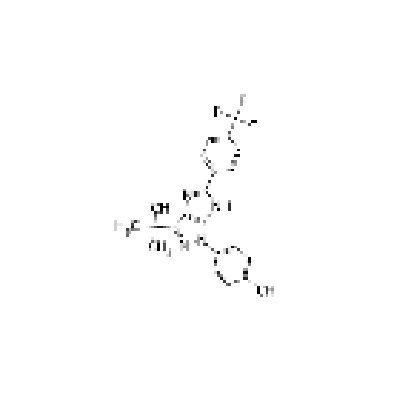 Cc1ccc(-n2nc(C(C)(C)C)c3nc(-c4ccc(C(F)(F)F)cc4)[nH]c32)cc1